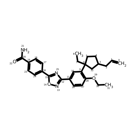 C=CCC1CCC(CC)(c2cc(-c3noc(-c4ccc(C(N)=O)cc4)n3)ccc2OCC)C1